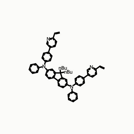 C=Cc1ccc(-c2ccc(N(c3ccccc3)c3ccc4c(c3)C(CCCC)(CCCC)c3cc(N(c5ccccc5)c5ccc(-c6ccc(C=C)nc6)cc5)ccc3-4)cc2)cn1